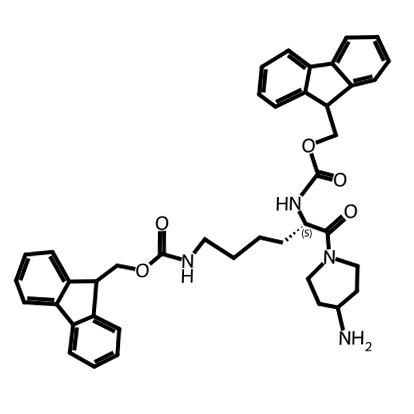 NC1CCN(C(=O)[C@H](CCCCNC(=O)OCC2c3ccccc3-c3ccccc32)NC(=O)OCC2c3ccccc3-c3ccccc32)CC1